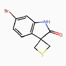 O=C1Nc2cc(Br)ccc2C12CSC2